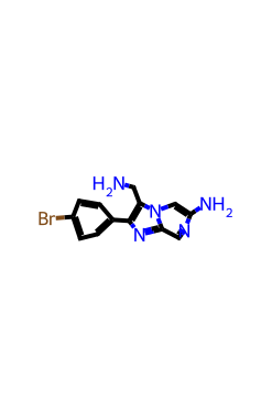 NCc1c(-c2ccc(Br)cc2)nc2cnc(N)cn12